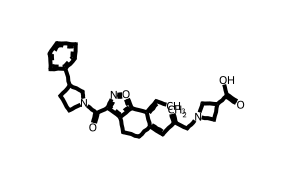 C=C(/C=C1/CCc2c(C(=O)N3CCC(c4ccccc4)C3)noc2/C1=C/C)CN1CC(C(=O)O)C1